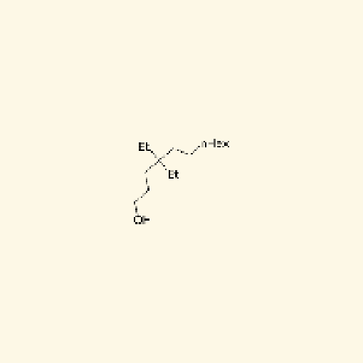 CCCCCCCCC(CC)(CC)CCCO